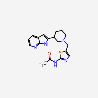 CC(=O)Nc1ncc(CN2CCCC(c3cc4cccnc4[nH]3)C2)s1